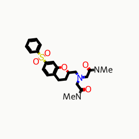 CNC(=O)CN(CC(=O)NC)CC1CCc2ccc(S(=O)(=O)c3ccccc3)cc2O1